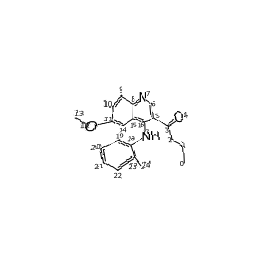 CCCC(=O)c1cnc2ccc(OC)cc2c1Nc1ccccc1C